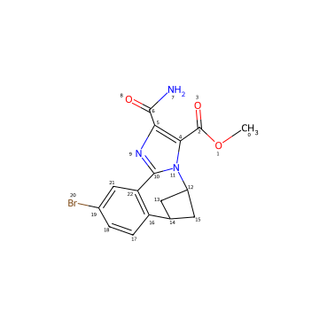 COC(=O)c1c(C(N)=O)nc2n1C1CC(C1)c1ccc(Br)cc1-2